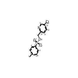 Cc1ccc(S(=O)(=O)OCc2ccc(Cl)cn2)cc1